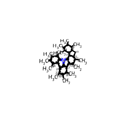 Cc1c(C)c(C)c2c(c1C)Cc1c(C)c(C)c3c4c(C)c(C)c(C)c5c6c(C)c(C)c(C)c(C)c6n(c3c1-2)c54